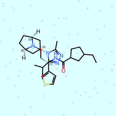 CCC1CCC(C(=O)N[C@@H](CCN2[C@@H]3CC[C@H]2C[C@H](n2c(C)nnc2C(C)C)C3)c2ccsc2)C1